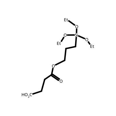 CCO[Si](CCCOC(=O)CCC(=O)O)(OCC)OCC